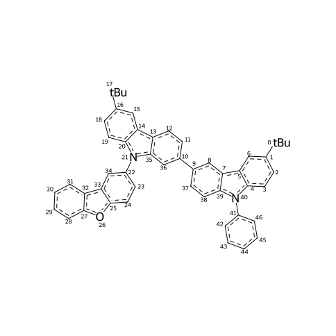 CC(C)(C)c1ccc2c(c1)c1cc(-c3ccc4c5cc(C(C)(C)C)ccc5n(-c5ccc6oc7ccccc7c6c5)c4c3)ccc1n2-c1ccccc1